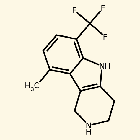 Cc1ccc(C(F)(F)F)c2[nH]c3c(c12)CNCC3